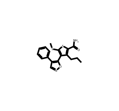 CCCc1c(C(N)=O)sc(SC)c1-c1oncc1-c1ccccc1